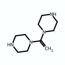 C=C(N1CCNCC1)N1CCNCC1